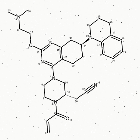 C=CC(=O)N1CCN(c2nc(OCCN(C)C)nc3c2CC[C@H](N2CCCc4ccccc42)C3)C[C@@H]1CC#N